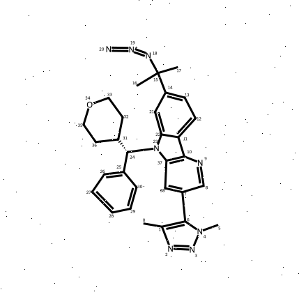 Cc1nnn(C)c1-c1cnc2c3ccc(C(C)(C)N=[N+]=[N-])cc3n([C@H](c3ccccc3)C3CCOCC3)c2c1